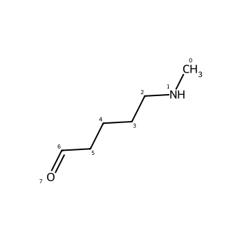 CNCCCCC=O